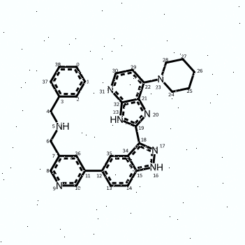 c1ccc(CNCc2cncc(-c3ccc4[nH]nc(-c5nc6c(N7CCCCC7)ccnc6[nH]5)c4c3)c2)cc1